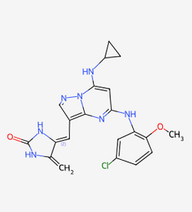 C=c1[nH]c(=O)[nH]/c1=C\c1cnn2c(NC3CC3)cc(Nc3cc(Cl)ccc3OC)nc12